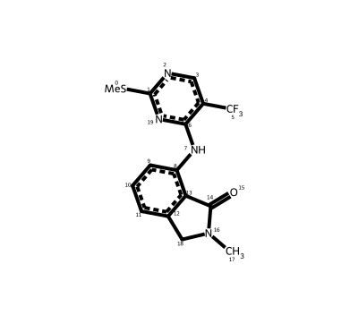 CSc1ncc(C(F)(F)F)c(Nc2cccc3c2C(=O)N(C)C3)n1